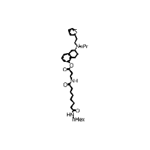 CCCCCCNC(=O)CCCCCCC(=O)NCCC(=O)Oc1cccc2c1CC[C@H](N(CCC)CCc1cccs1)C2